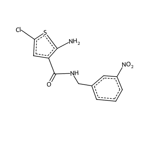 Nc1sc(Cl)cc1C(=O)NCc1cccc([N+](=O)[O-])c1